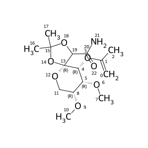 C=C(C)O[C@@H]1[C@H](OC)[C@H](OC)CO[C@@]12OC(C)(C)OC2C(N)=O